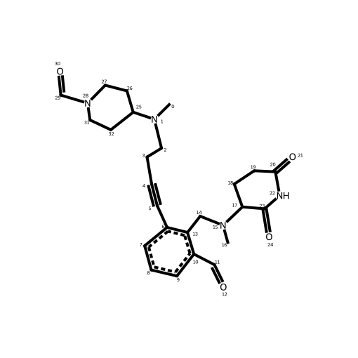 CN(CCC#Cc1cccc(C=O)c1CN(C)C1CCC(=O)NC1=O)C1CCN(C=O)CC1